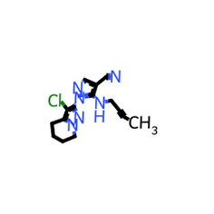 CC#CCNc1c(C#N)cnn1-c1nn2c(c1Cl)CCCC2